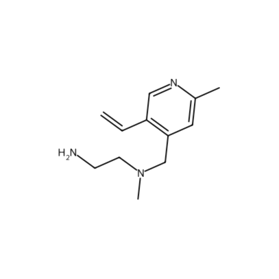 C=Cc1cnc(C)cc1CN(C)CCN